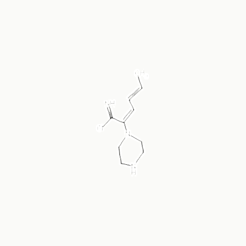 C/C=C/C=C(\C(=N)Cl)N1CCNCC1